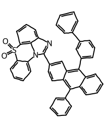 O=S1(=O)c2ccccc2-n2c(-c3ccc4c(-c5ccccc5)c5ccccc5c(-c5cccc(-c6ccccc6)c5)c4c3)nc3cccc1c32